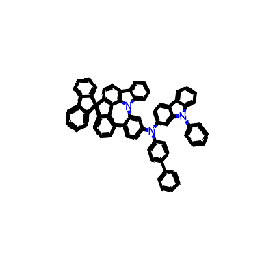 c1ccc(-c2ccc(N(c3ccc4c(c3)-n3c5ccccc5c5ccc6c(c53)-c3c-4cccc3C63c4ccccc4-c4ccccc43)c3ccc4c5ccccc5n(-c5ccccc5)c4c3)cc2)cc1